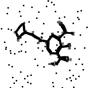 NC(=O)c1cc(OCC2CCO2)cc([N+](=O)[O-])c1Cl